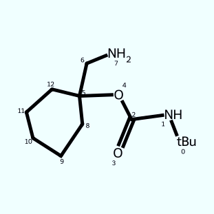 CC(C)(C)NC(=O)OC1(CN)CCCCC1